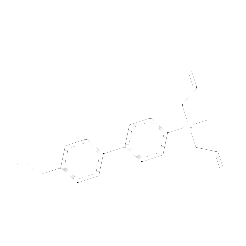 C=CC[Si](O)(CC=C)c1ccc(-c2ccc(OC)cc2)cc1